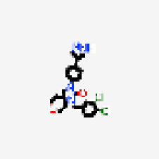 O=C1N(c2ccc(-c3cn[nH]c3)cc2)CC2(CCOCC2)N1Cc1ccc(Cl)c(Cl)c1